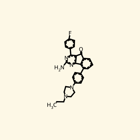 CCCN1CCN(c2ccc(-c3cccc4c3-c3nc(N)nc(-c5ccc(F)cc5)c3C4=O)cc2)CC1